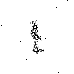 CNc1ccc(Oc2ccnc3cc(OCCCN4CCCC(O)C4)c(OC)cc23)c(F)c1